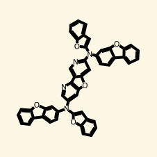 c1ccc2oc(N(c3ccc4c(c3)oc3ccccc34)c3cnc4c(c3)oc3cc(N(c5ccc6c(c5)oc5ccccc56)c5cc6ccccc6o5)ncc34)cc2c1